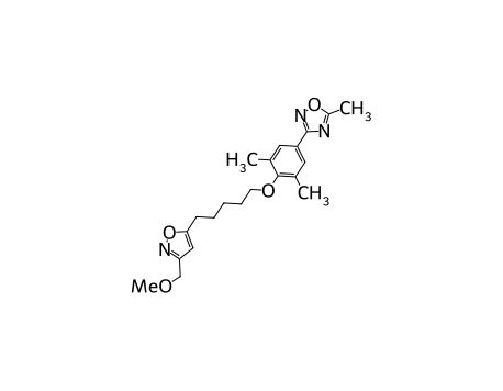 COCc1cc(CCCCCOc2c(C)cc(-c3noc(C)n3)cc2C)on1